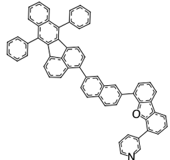 c1ccc(-c2c3c(c(-c4ccccc4)c4ccccc24)-c2ccc(-c4ccc5ccc(-c6cccc7c6oc6c(-c8cccnc8)cccc67)cc5c4)c4cccc-3c24)cc1